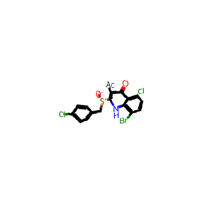 CC(=O)c1c([S+]([O-])Cc2ccc(Cl)cc2)[nH]c2c(Br)ccc(Cl)c2c1=O